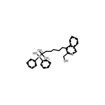 CC(C)(CCCCCc1c(CO)ncc2ccccc12)[Si](O)(c1ccccc1)c1ccccc1